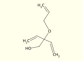 C=CCOC(C=C)(C=C)CO